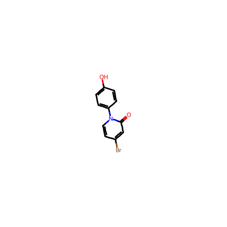 O=c1cc(Br)ccn1-c1ccc(O)cc1